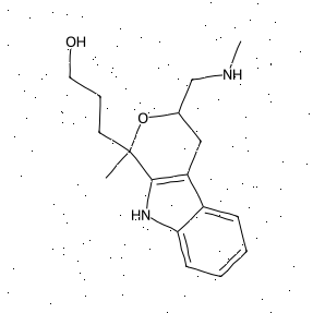 CNCC1Cc2c([nH]c3ccccc23)C(C)(CCCO)O1